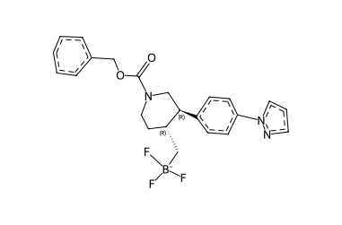 O=C(OCc1ccccc1)N1CC[C@@H](C[B-](F)(F)F)[C@H](c2ccc(-n3cccn3)cc2)C1